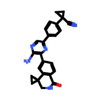 N#CC1(c2ccc(-c3cnc(N)c(-c4ccc5c(c4)C4(CC4)CNC5=O)n3)cc2)CC1